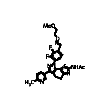 COCCO/N=C/c1ccc(-n2nc(-c3ccc(C)nc3)c3c2-c2sc(NC(C)=O)nc2CC3)c(F)c1F